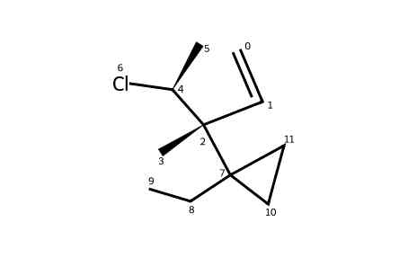 C=C[C@@](C)([C@H](C)Cl)C1(CC)CC1